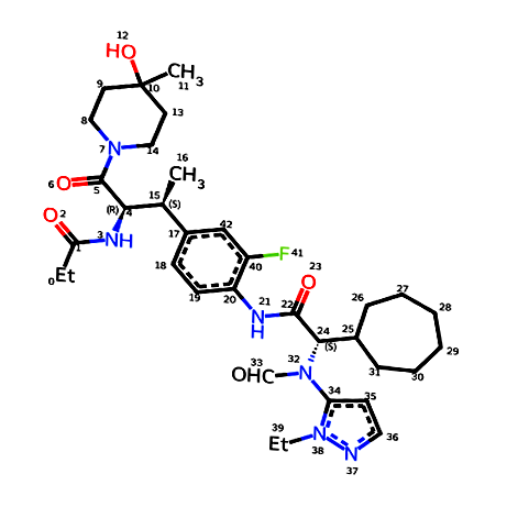 CCC(=O)N[C@@H](C(=O)N1CCC(C)(O)CC1)[C@@H](C)c1ccc(NC(=O)[C@H](C2CCCCCC2)N(C=O)c2ccnn2CC)c(F)c1